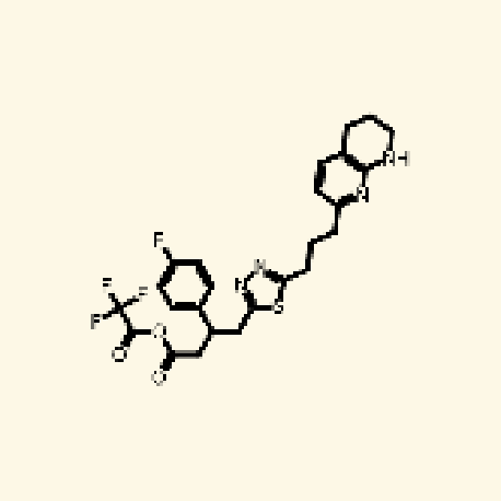 O=C(CC(Cc1nnc(CCCc2ccc3c(n2)NCCC3)s1)c1ccc(F)cc1)OC(=O)C(F)(F)F